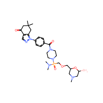 BC1CN(C)CC(COCP(=O)(N(C)C)N2CCN(C(=O)c3ccc(-n4ncc5c4CC(C)(C)CC5=O)cc3)CC2)O1